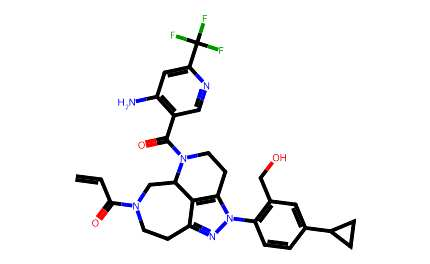 C=CC(=O)N1CCc2nn(-c3ccc(C4CC4)cc3CO)c3c2C(C1)N(C(=O)c1cnc(C(F)(F)F)cc1N)CC3